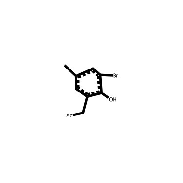 CC(=O)Cc1cc(C)cc(Br)c1O